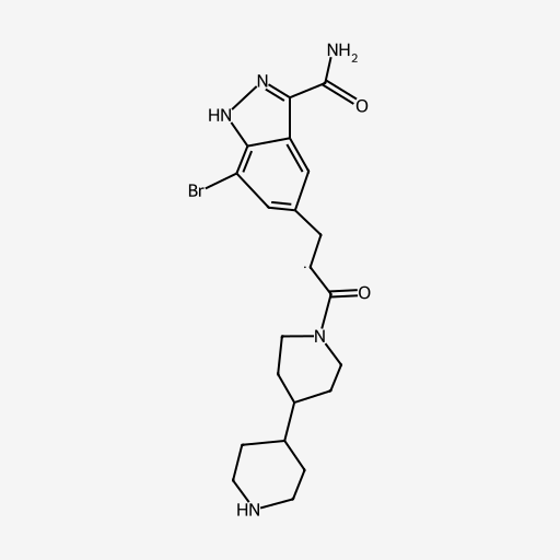 NC(=O)c1n[nH]c2c(Br)cc(C[CH]C(=O)N3CCC(C4CCNCC4)CC3)cc12